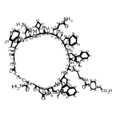 C[C@H]1NC(=O)CSC[C@@H](C(N)=O)NC(=O)[C@H](CC(N)=O)NC(=O)[C@H]([C@@H](C)O)NC(=O)[C@H](Cc2cn(C)c3ccccc23)NC(=O)[C@H](CCCCNC(=O)N2CCN(CC(=O)O)CC2)NC(=O)[C@H](Cc2cn(C)c3ccccc23)NC(=O)[C@H](Cc2ccccc2)N(C)C(=O)[C@H](CCCC(N)=O)NC(=O)[C@H](C2CCC2)NC(=O)[C@H](CC(N)=O)NC(=O)[C@H](Cc2cccnc2)N(C)C1=O